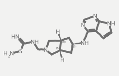 N=C(NCN1C[C@H]2C[C@H](Nc3ncnc4[nH]ccc34)C[C@H]2C1)SN